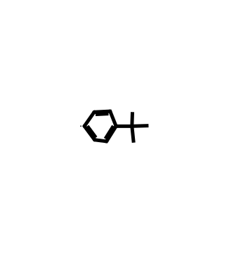 CC(C)(C)c1cc[c]cc1